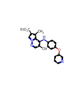 CCOC(=O)c1cn2ncc(C#N)c(Nc3ccc(Oc4cccnc4)cc3)c2c1C